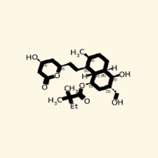 CCC(C)(C)C(=O)O[C@H]1C[C@@H](CO)[C@H](O)[C@@H]2CC[C@H](C)[C@H](CC[C@@H]3C[C@@H](O)CC(=O)O3)[C@H]21